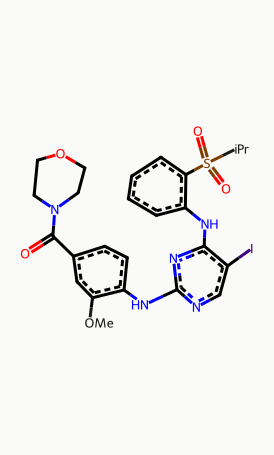 COc1cc(C(=O)N2CCOCC2)ccc1Nc1ncc(I)c(Nc2ccccc2S(=O)(=O)C(C)C)n1